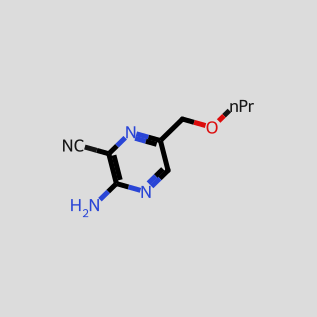 CCCOCc1cnc(N)c(C#N)n1